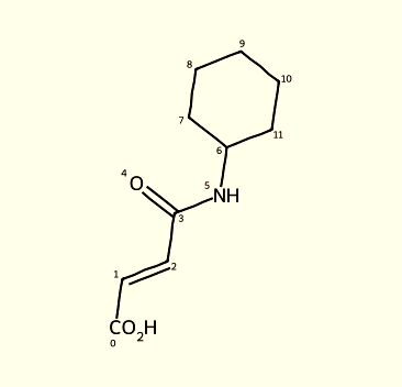 O=C(O)C=CC(=O)NC1CCCCC1